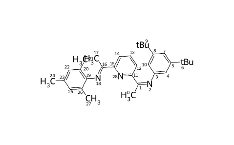 CC(=Nc1cc(C(C)(C)C)cc(C(C)(C)C)c1)c1cccc(C(C)=Nc2c(C)cc(C)cc2C)n1